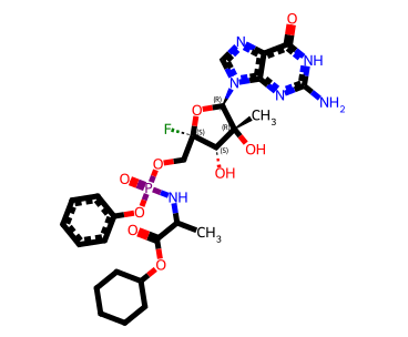 CC(NP(=O)(OC[C@@]1(F)O[C@@H](n2cnc3c(=O)[nH]c(N)nc32)[C@](C)(O)[C@@H]1O)Oc1ccccc1)C(=O)OC1CCCCC1